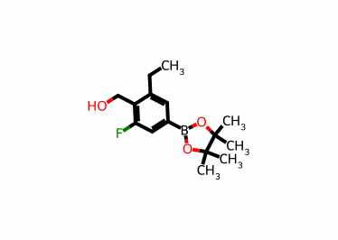 CCc1cc(B2OC(C)(C)C(C)(C)O2)cc(F)c1CO